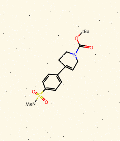 CNS(=O)(=O)c1ccc(C2=CCN(C(=O)OC(C)(C)C)CC2)cc1